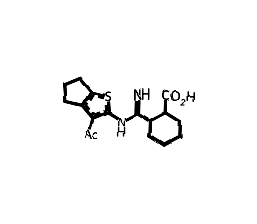 CC(=O)c1c(NC(=N)C2CCCCC2C(=O)O)sc2c1CCC2